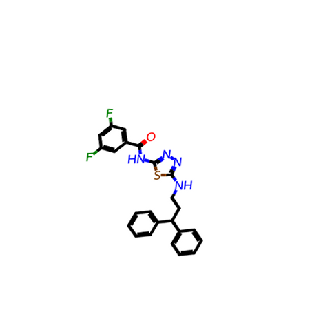 O=C(Nc1nnc(NCCC(c2ccccc2)c2ccccc2)s1)c1cc(F)cc(F)c1